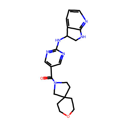 O=C(c1cnc(NC2CNc3ncccc32)nc1)N1CCC2(CCOCC2)C1